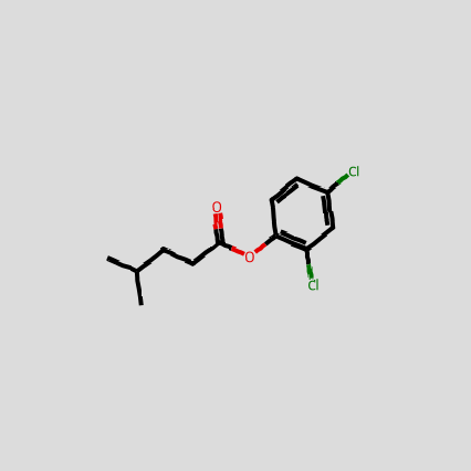 CC(C)CCC(=O)Oc1ccc(Cl)cc1Cl